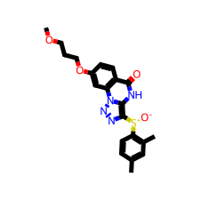 COCCCOc1ccc2c(=O)[nH]c3c([S+]([O-])c4ccc(C)cc4C)nnn3c2c1